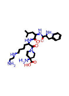 CC(C)CC(NC(=O)C(N)Cc1ccccc1)C(=O)NC(CCCCNCCN)C(=O)N1CCC(N)(C(=O)O)CC1